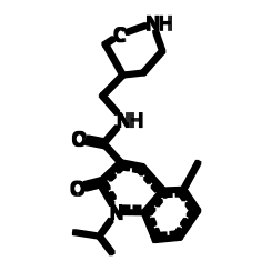 Cc1cccc2c1cc(C(=O)NCC1CCNCC1)c(=O)n2C(C)C